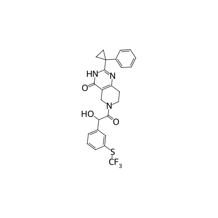 O=C(C(O)c1cccc(SC(F)(F)F)c1)N1CCc2nc(C3(c4ccccc4)CC3)[nH]c(=O)c2C1